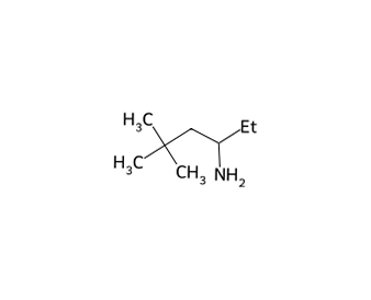 [CH2]CC(N)CC(C)(C)C